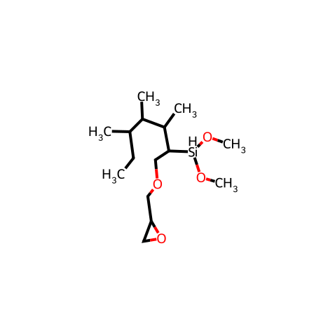 CCC(C)C(C)C(C)C(COCC1CO1)[SiH](OC)OC